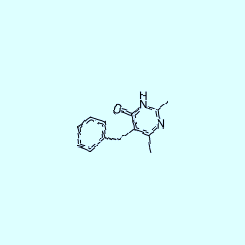 Cc1nc(C)c(Cc2ccccc2)c(=O)[nH]1